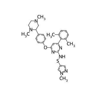 Cc1cccc(C)c1-c1cc(Oc2ccc(C3CN(C)CCN3C)cc2)nc(NSc2cnn(C)c2)n1